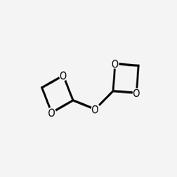 C1OC(OC2OCO2)O1